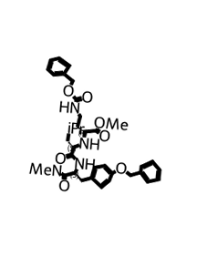 CNC(=O)[C@H](Cc1ccc(OCc2ccccc2)cc1)NC(=O)[C@H](CC(C)C)N[C@H](CCNC(=O)OCc1ccccc1)C(=O)OC